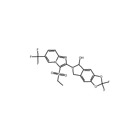 CCS(=O)(=O)c1c(N2Cc3cc4c(cc3C2O)OC(F)(F)O4)nc2ccc(C(F)(F)F)cn12